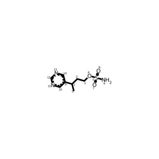 CC(CCOS(N)(=O)=O)c1cncnc1